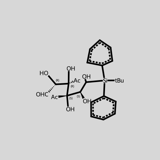 CC(=O)[C@@](O)([C@@H](O)C=O)[C@](O)(C(C)=O)[C@H](O)C(O)[Si](c1ccccc1)(c1ccccc1)C(C)(C)C